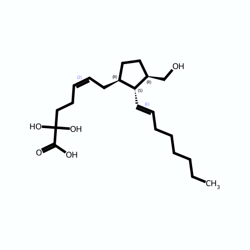 CCCCCC/C=C/[C@H]1[C@H](CO)CC[C@@H]1C/C=C\CCC(O)(O)C(=O)O